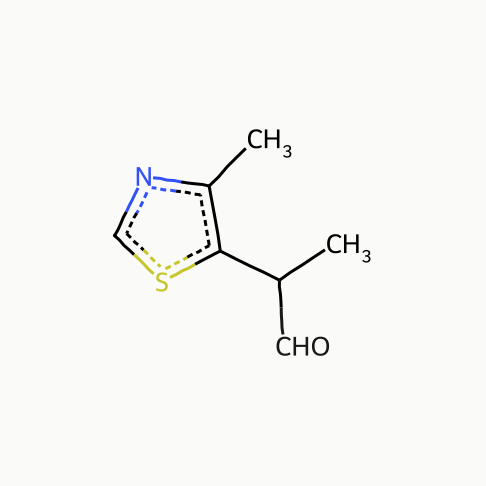 Cc1ncsc1C(C)C=O